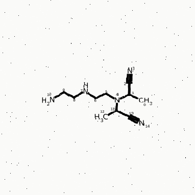 CC(C#N)N(CCNCCN)C(C)C#N